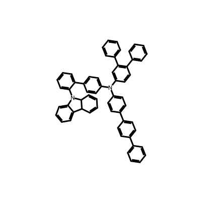 C1=CC2c3ccccc3N(c3ccccc3-c3ccc(N(c4ccc(-c5ccc(-c6ccccc6)cc5)cc4)c4ccc(-c5ccccc5)c(-c5ccccc5)c4)cc3)C2C=C1